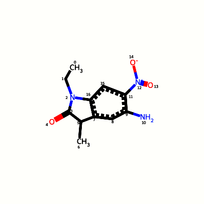 CCN1C(=O)C(C)c2cc(N)c([N+](=O)[O-])cc21